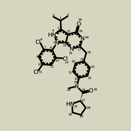 CC(C)c1[nH]n(-c2c(Cl)cc(Cl)cc2Cl)c2nc(Cc3ccc(N(C)C(=O)[C@@H]4CCCN4)cc3)nc(=O)c1-2